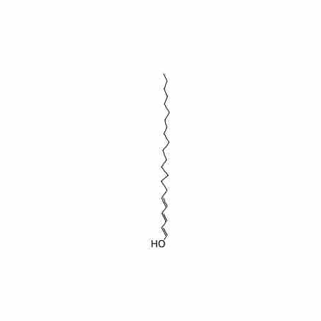 CCCCCCCCCCCCCCCCC=CC=CC=CO